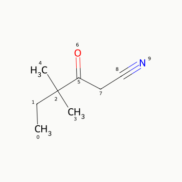 CCC(C)(C)C(=O)CC#N